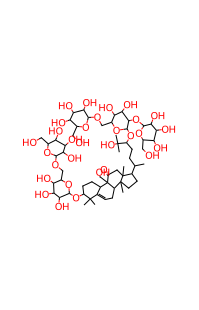 CC(CCC(OC1OC(COC2OC(CO)C(O)C(O)C2O)C(O)C(O)C1OC1OC(CO)C(O)C(O)C1O)C(C)(C)O)C1CCC2(C)C3CC=C4C(CCC(OC5OC(COC6OC(CO)C(O)C(O)C6O)C(O)C(O)C5O)C4(C)C)C3(CO)C(=O)CC12C